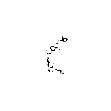 CCN(CC=CCN(CC)C(=O)N(C)C(C)CC(=O)O)C(=O)Cc1ccc(NC(=O)Nc2ccccc2C)c(OC)c1